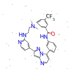 CN(C)CCNc1cc(-c2cc3nccc(-c4cccc(NC(=O)c5cccc(C(F)(F)F)c5)c4)n3n2)ccn1